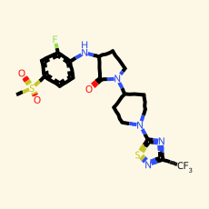 CS(=O)(=O)c1ccc(NC2CCN(C3CCN(c4nc(C(F)(F)F)ns4)CC3)C2=O)c(F)c1